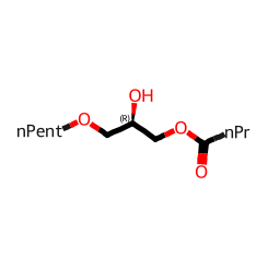 CCCCCOC[C@@H](O)COC(=O)CCC